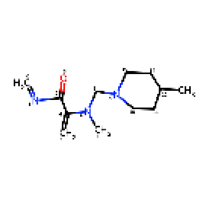 C=NC(=O)C(=C)N(C)CN1CCC(C)CC1